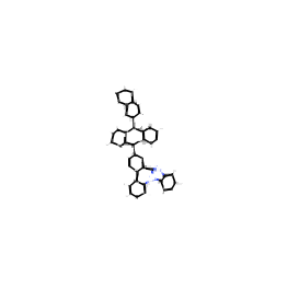 c1ccc2cc(-c3c4ccccc4c(-c4ccc5c6ccccc6n6c7ccccc7nc6c5c4)c4ccccc34)ccc2c1